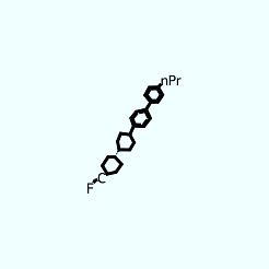 CCCc1ccc(-c2ccc(C3CCC([C@H]4CC[C@H](CCF)CC4)CC3)cc2)cc1